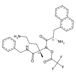 C[C@](CCCN)(C(=O)NCc1ccccc1)N(OC(=O)C(F)(F)F)C(=O)[C@@H](N)Cc1cccc2ccccc12